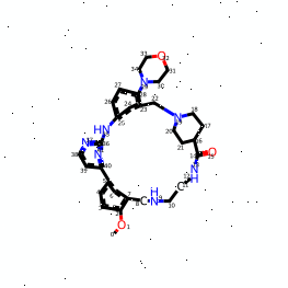 COc1ccc2cc1CNCCCNC(=O)C1CCN(CC1)Cc1cc(ccc1N1CCOCC1)Nc1nccc-2n1